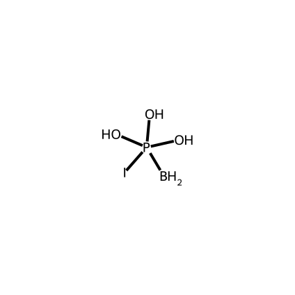 BP(O)(O)(O)I